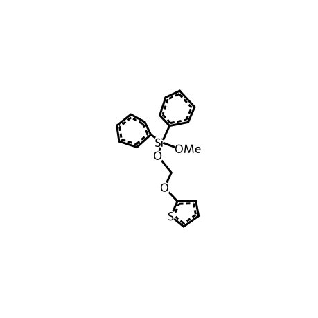 CO[Si](OCOc1cccs1)(c1ccccc1)c1ccccc1